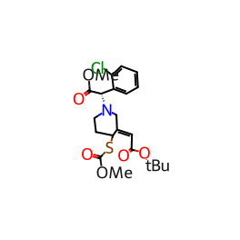 COC(=O)SC1CCN([C@H](C(=O)OC)c2ccccc2Cl)C/C1=C/C(=O)OC(C)(C)C